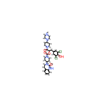 CN1CCN(C2CCN(C(=O)C(Cc3cc(Cl)c(O)c(Cl)c3)OC(=O)N3CCC(N4CCc5ccccc5NC4=O)CC3)CC2)CC1